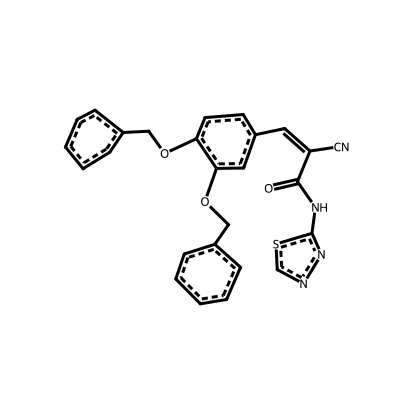 N#CC(=Cc1ccc(OCc2ccccc2)c(OCc2ccccc2)c1)C(=O)Nc1nncs1